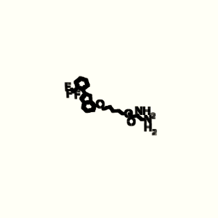 NCC(N)C(=O)OCCCCCOc1cccc2c1CC(c1ccccc1C(F)(F)F)=C2